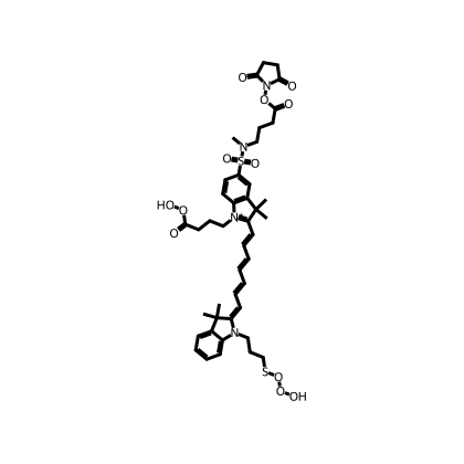 CN(CCCC(=O)ON1C(=O)CCC1=O)S(=O)(=O)c1ccc2c(c1)C(C)(C)C(/C=C/C=C/C=C/C=C1/N(CCCSOOO)c3ccccc3C1(C)C)=[N+]2CCCC(=O)OO